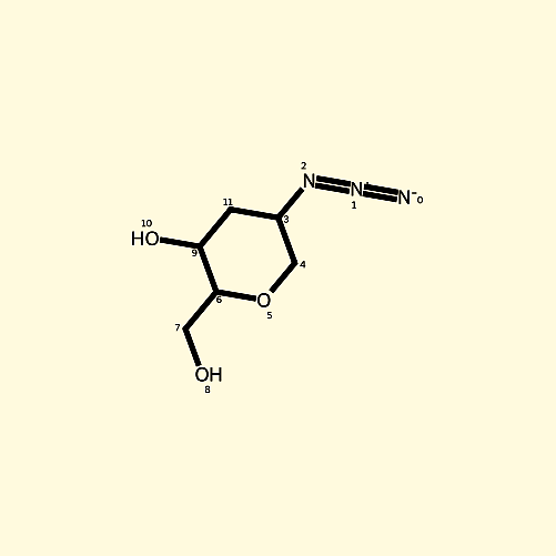 [N-]=[N+]=NC1COC(CO)C(O)C1